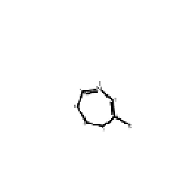 CC1=CN=CCCC1